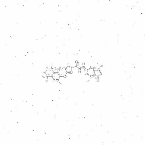 Cc1cc2c(c(Br)c1Oc1ccc(C(=O)NNc3cc(C)c4c(C)nn(C)c4n3)o1)C(C)(C)CCC2(C)C